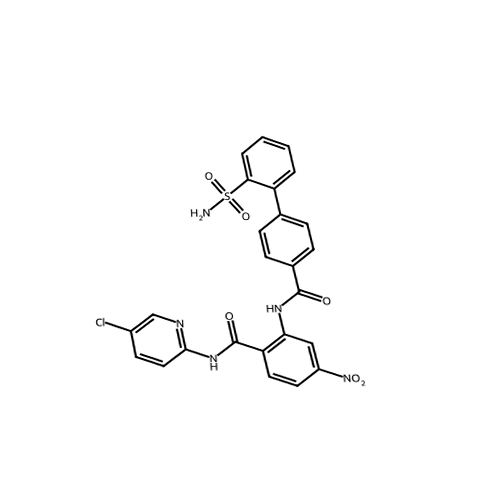 NS(=O)(=O)c1ccccc1-c1ccc(C(=O)Nc2cc([N+](=O)[O-])ccc2C(=O)Nc2ccc(Cl)cn2)cc1